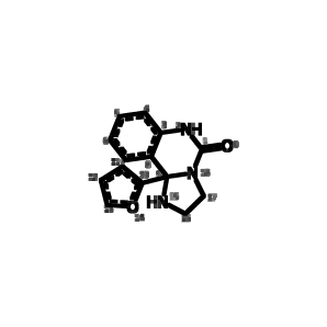 O=C1Nc2ccccc2C2(c3ccco3)NCCN12